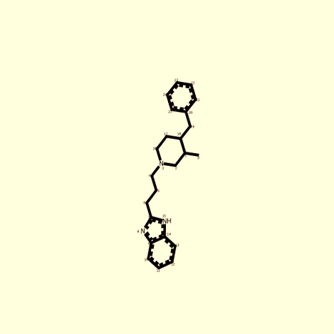 CC1CN(CCCc2nc3ccccc3[nH]2)CCC1Cc1ccccc1